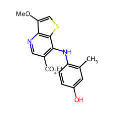 CCOC(=O)c1cnc2c(OC)csc2c1Nc1ccc(O)cc1C